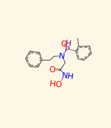 Cc1ccccc1[PH](=O)N(CCc1ccccc1)CC(=O)NO